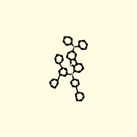 c1ccc(-c2ccc(N(c3cc(-c4ccccc4)cc(-c4ccccc4)c3)c3cccc4c3sc3ccc(N(c5ccccc5)c5ccccc5)cc34)cc2)cc1